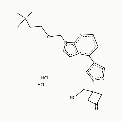 C[Si](C)(C)CCOCn1ccc2c(-c3cnn(C4(CC#N)CNC4)c3)ccnc21.Cl.Cl